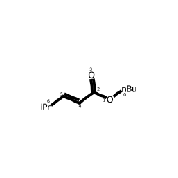 CCCCOC(=O)/C=C/C(C)C